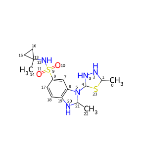 CC1NNC(N2c3cc(S(=O)(=O)NC4(C)CC4)ccc3NC2C)S1